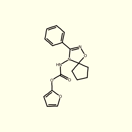 O=C(NN1C(c2ccccc2)=NOC12CCCC2)Oc1ccco1